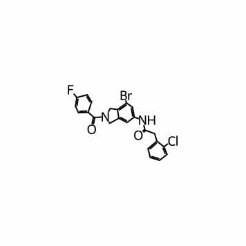 O=C(Cc1ccccc1Cl)Nc1cc(Br)c2c(c1)CN(C(=O)c1ccc(F)cc1)C2